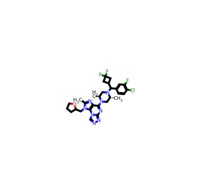 Cc1nc2c(N3C[C@@H](C)N(C(c4ccc(Cl)c(F)c4)C4CC(F)(F)C4)C[C@@H]3C)nc3nncn3c2n1CC1CCCO1